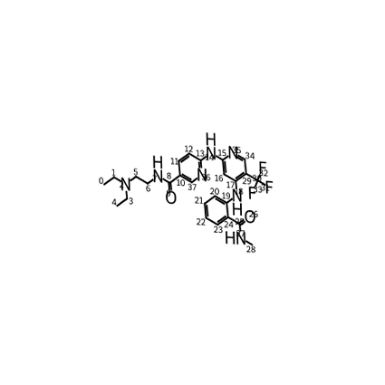 CCN(CC)CCNC(=O)c1ccc(Nc2cc(Nc3ccccc3C(=O)NC)c(C(F)(F)F)cn2)nc1